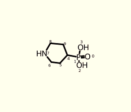 O=P(O)(O)C1CCNCC1